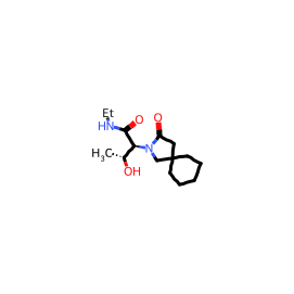 CCNC(=O)[C@H]([C@@H](C)O)N1CC2(CCCCC2)CC1=O